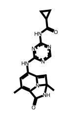 CC1=C2C(=O)NC3(C)C=C(C(Nc4ncnc(NC(=O)C5CC5)n4)=C1)N23